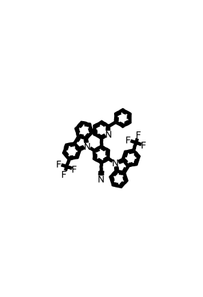 N#Cc1cc(-n2c3ccccc3c3ccc(C(F)(F)F)cc32)c(-c2cccc(-c3ccccc3)n2)cc1-n1c2ccccc2c2ccc(C(F)(F)F)cc21